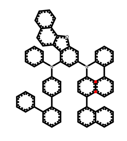 c1ccc(-c2ccccc2-c2ccc(N(c3ccccc3)c3cc(N(c4ccc(-c5cccc6ccccc56)cc4)c4ccccc4-c4ccccc4)cc4oc5c6ccccc6ccc5c34)cc2)cc1